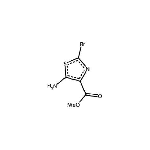 COC(=O)c1nc(Br)sc1N